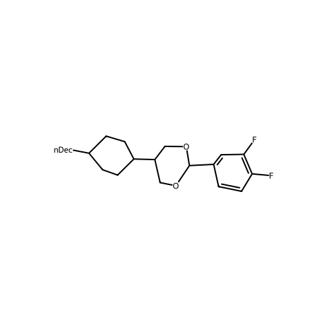 CCCCCCCCCCC1CCC(C2COC(c3ccc(F)c(F)c3)OC2)CC1